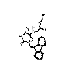 C=CCOC(=O)CNC(=O)C(C(C)C)N(C)C(=O)OCC1c2ccccc2-c2ccccc21